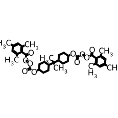 Cc1cc(C)c(C(=O)OOC(=O)OC2CCC(C(C)(C)C3CCC(OC(=O)OOC(=O)c4c(C)cc(C)cc4C)CC3)CC2)c(C)c1